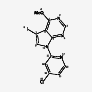 COc1ncnc2c1c(I)cn2-c1cc(Cl)ccn1